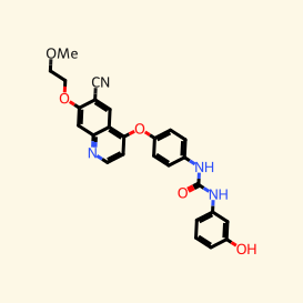 COCCOc1cc2nccc(Oc3ccc(NC(=O)Nc4cccc(O)c4)cc3)c2cc1C#N